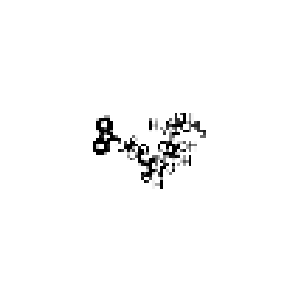 C=P(C)(C)CC[C@H]1OC(n2cc(CC(=O)OC(=O)OCC3c4ccccc4-c4ccccc43)c(=O)[nH]c2=O)[C@H](O)[C@@H]1O